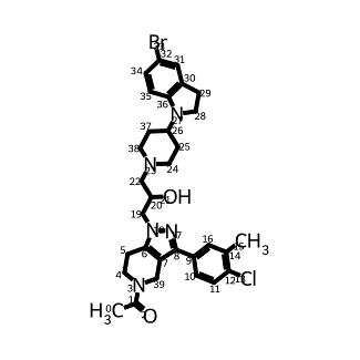 CC(=O)N1CCc2c(c(-c3ccc(Cl)c(C)c3)nn2CC(O)CN2CCC(N3CCc4cc(Br)ccc43)CC2)C1